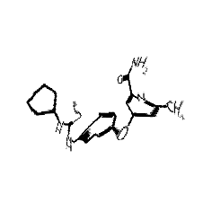 Cc1cc(Oc2ccc(NC(=S)NC3CCCCC3)cc2)cc(C(N)=O)n1